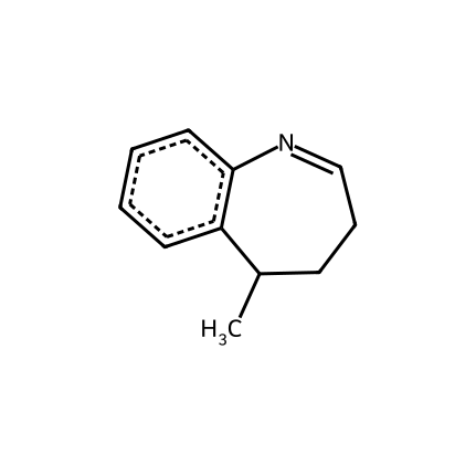 CC1CCC=Nc2ccccc21